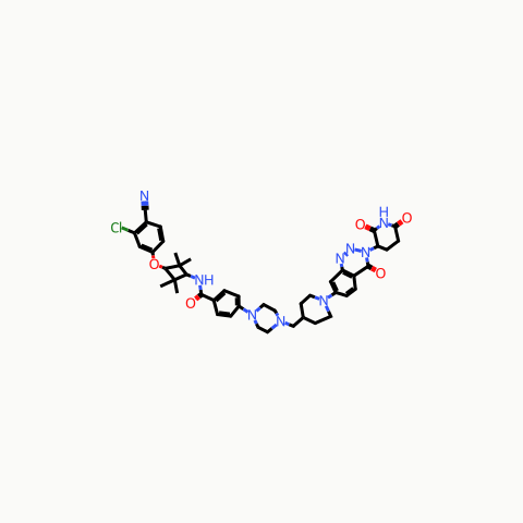 CC1(C)C(NC(=O)c2ccc(N3CCN(CC4CCN(c5ccc6c(=O)n(C7CCC(=O)NC7=O)nnc6c5)CC4)CC3)cc2)C(C)(C)C1Oc1ccc(C#N)c(Cl)c1